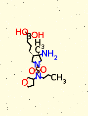 CCCN(C1CCOC1)S(=O)(=O)N1C[C@H](CCCB(O)O)[C@@](C)(N)C1